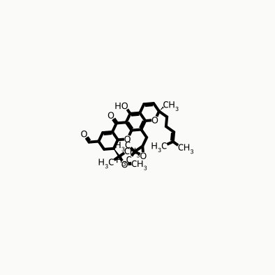 COC(C)(C)[C@H]1CC(C=O)C=C2C(=O)c3c(O)c4c(c(CC5OC5(C)C)c3OC21)O[C@](C)(CCC=C(C)C)C=C4